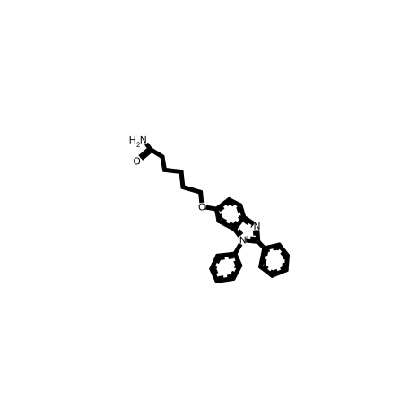 NC(=O)CCCCCOc1ccc2nc(-c3ccccc3)n(-c3ccccc3)c2c1